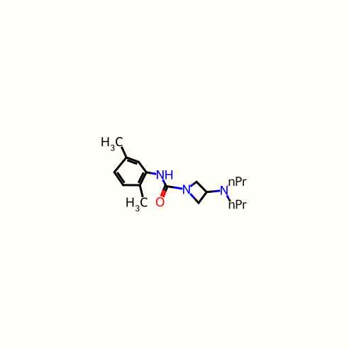 CCCN(CCC)C1CN(C(=O)Nc2cc(C)ccc2C)C1